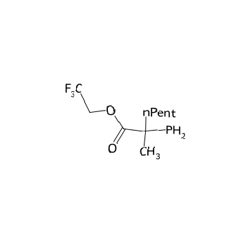 CCCCCC(C)(P)C(=O)OCC(F)(F)F